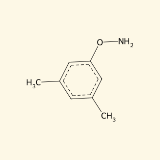 Cc1cc(C)cc(ON)c1